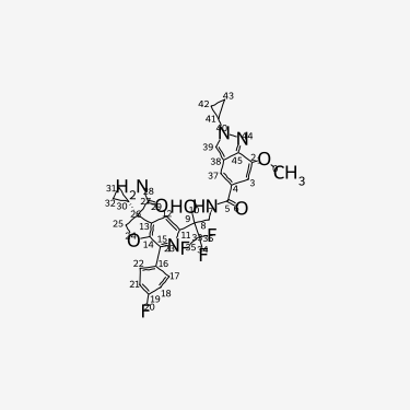 COc1cc(C(=O)NCC(O)(c2cc3c(c(-c4ccc(F)cc4)n2)OC[C@]3(C(N)=O)C2CC2)C(F)(F)F)cc2cn(C3CC3)nc12